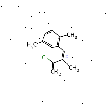 C=C(Cl)/C(C)=C\c1cc(C)ccc1C